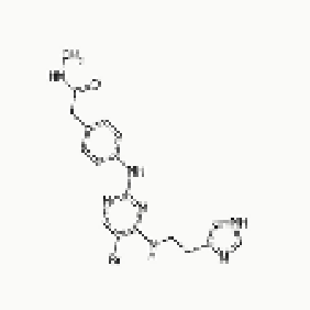 CNC(=O)Cc1ccc(Nc2ncc(Br)c(NCCc3c[nH]cn3)n2)cc1